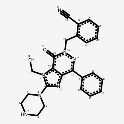 CCn1c(N2CCNCC2)nc2c(-c3ccccc3)nn(Cc3ccccc3C#N)c(=O)c21